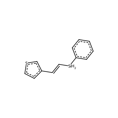 C(=C\c1ccsc1)/[SiH2]c1ccccc1